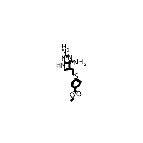 CCOC(=O)c1ccc(SCCC2CNc3nc(N)nc(N)c32)cc1